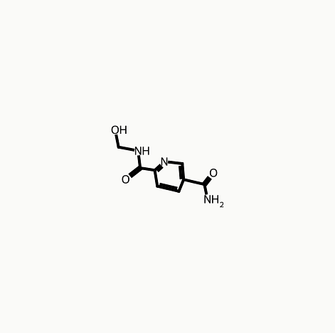 NC(=O)c1ccc(C(=O)NCO)nc1